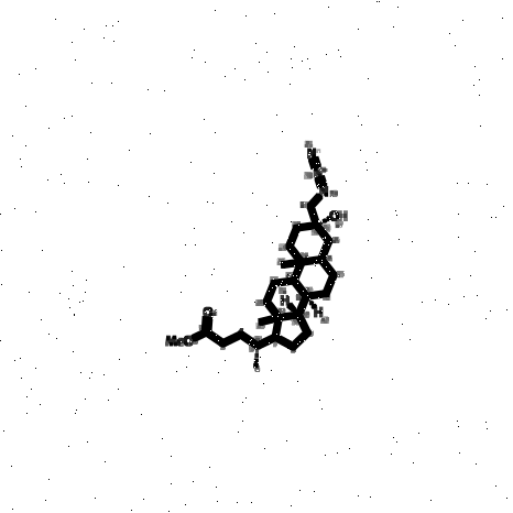 COC(=O)CC[C@@H](C)C1CC[C@H]2[C@@H]3CCC4C[C@](O)(CN=[N+]=[N-])CCC4(C)C3CCC12C